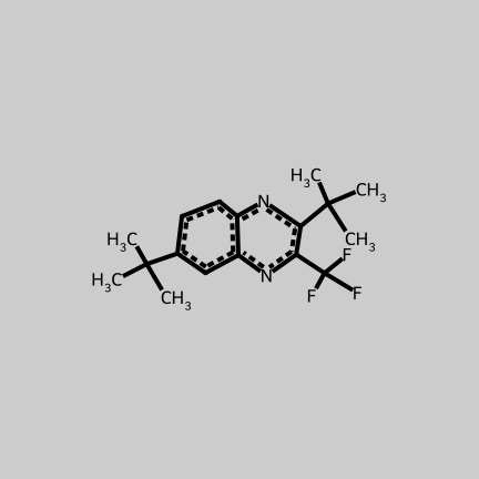 CC(C)(C)c1ccc2nc(C(C)(C)C)c(C(F)(F)F)nc2c1